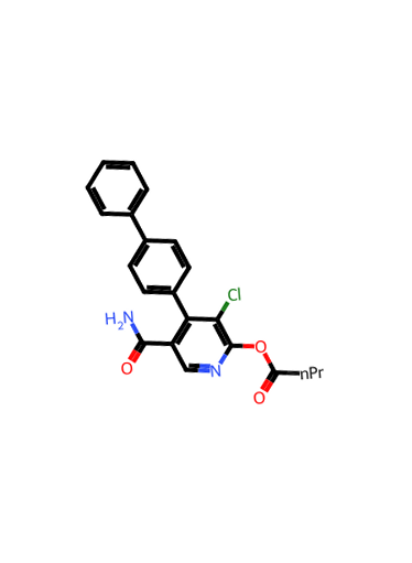 CCCC(=O)Oc1ncc(C(N)=O)c(-c2ccc(-c3ccccc3)cc2)c1Cl